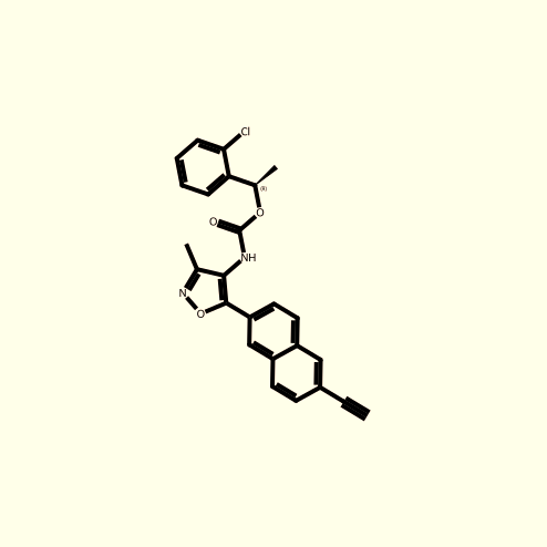 C#Cc1ccc2cc(-c3onc(C)c3NC(=O)O[C@H](C)c3ccccc3Cl)ccc2c1